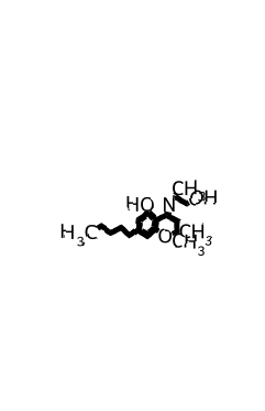 CCCCCc1cc(O)c2c(c1)OC(C)(C)CC2=NC(C)CO